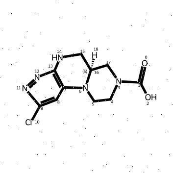 O=C(O)N1CCN2c3cc(Cl)nnc3NC[C@H]2C1